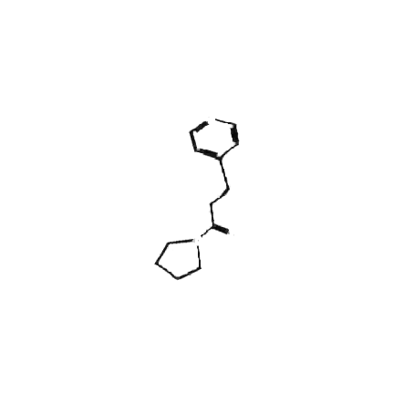 O=C(CCc1ccncc1)N1CCCC1